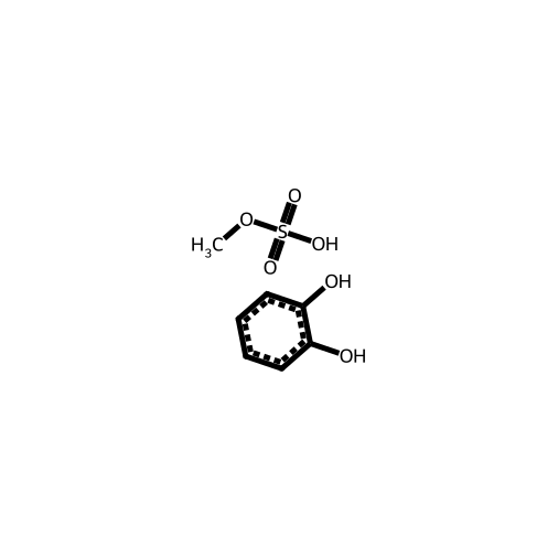 COS(=O)(=O)O.Oc1ccccc1O